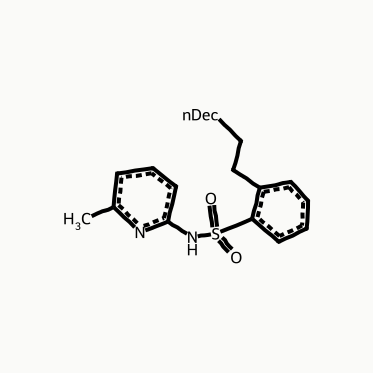 CCCCCCCCCCCCc1ccccc1S(=O)(=O)Nc1cccc(C)n1